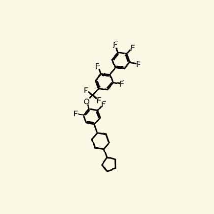 Fc1cc(-c2c(F)cc(C(F)(F)Oc3c(F)cc(C4CCC(C5CCCC5)CC4)cc3F)cc2F)cc(F)c1F